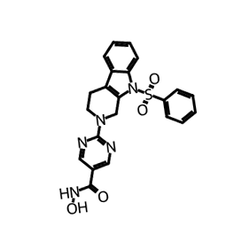 O=C(NO)c1cnc(N2CCc3c(n(S(=O)(=O)c4ccccc4)c4ccccc34)C2)nc1